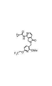 COc1nc(OCC(F)(F)F)ccc1CN1Cc2c(ccnc2NC(=O)C2CC2)C1=O